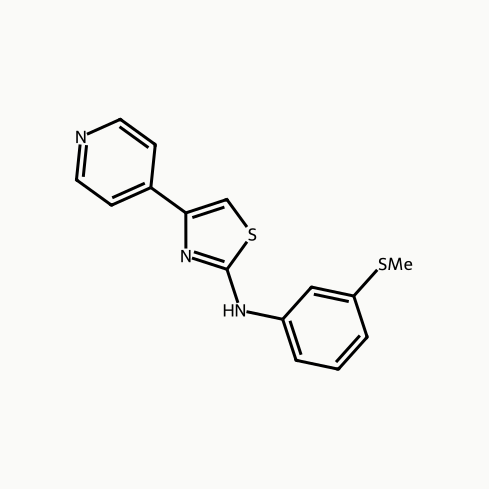 CSc1cccc(Nc2nc(-c3ccncc3)cs2)c1